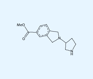 COC(=O)c1ccc2c(c1)CN(C1CCNC1)C2